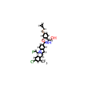 O=C(NC(CO)c1ccc(SCC2CC2)cc1)c1ccc2c(c1)cc(Cc1ccc(Cl)cc1C(F)(F)F)n2CCF